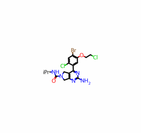 CC(C)NC(=O)N1Cc2nc(N)nc(-c3cc(OCCCl)c(Br)cc3Cl)c2C1